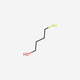 OCCC[CH]S